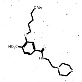 COCCCCOc1cc(C(=O)NCCN2CCOCC2)ccc1C(=O)O